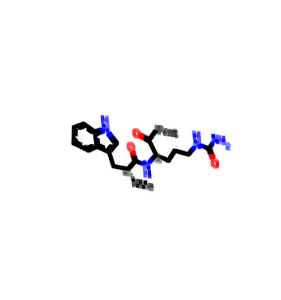 CCCC(C)C(=O)[C@@H](CCCNC(N)=O)NC(=O)[C@@H](Cc1c[nH]c2ccccc12)NC